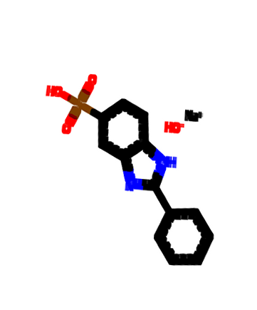 O=S(=O)(O)c1ccc2[nH]c(-c3ccccc3)nc2c1.[Na+].[OH-]